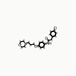 O=C(Cc1ccc(Cl)cc1)Nc1ccc(OCCCN2CCOCC2)cc1